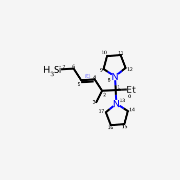 CCC(C(C)/C=C/C[SiH3])(N1CCCC1)N1CCCC1